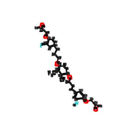 Fc1cc(CCCOc2ccc(OCCCc3ccc(OCC4CO4)c(F)c3)c(C(F)(F)F)c2C(F)(F)F)ccc1OCC1CO1